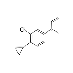 C=C[C](C)c1ccc(C2CC2)c(Cl)c1